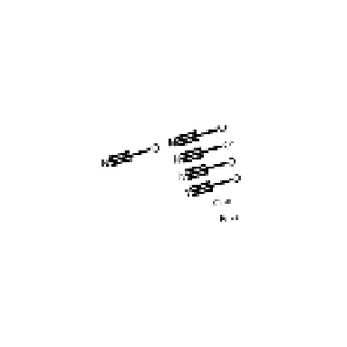 N#C[O-].N#C[O-].N#C[O-].N#C[O-].N#C[O-].[Cr+3].[Fe+2]